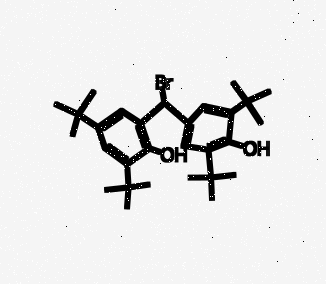 CC(C)(C)c1cc(C(Br)c2cc(C(C)(C)C)c(O)c(C(C)(C)C)c2)c(O)c(C(C)(C)C)c1